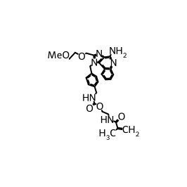 C=C(C)C(=O)NCCOC(=O)NCc1ccc(Cn2c(COCCOC)nc3c(N)nc4ccccc4c32)cc1